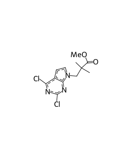 COC(=O)C(C)(C)Cn1ccc2c(Cl)nc(Cl)nc21